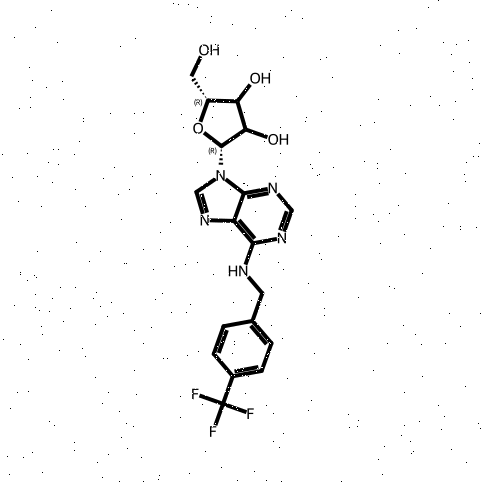 OC[C@H]1O[C@@H](n2cnc3c(NCc4ccc(C(F)(F)F)cc4)ncnc32)C(O)C1O